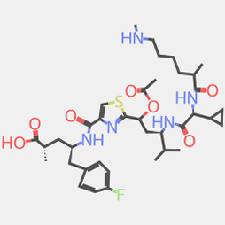 CNCCCCC(C)C(=O)N[C@H](C(=O)N[C@H](CC(OC(C)=O)c1nc(C(=O)N[C@@H](Cc2ccc(F)cc2)C[C@H](C)C(=O)O)cs1)C(C)C)C1CC1